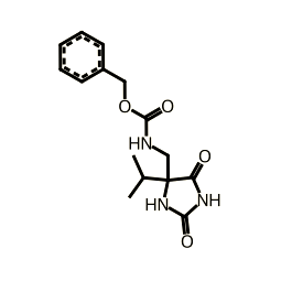 CC(C)C1(CNC(=O)OCc2ccccc2)NC(=O)NC1=O